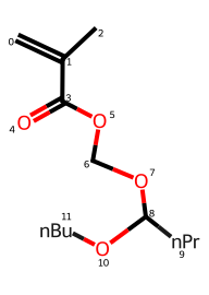 C=C(C)C(=O)OCOC(CCC)OCCCC